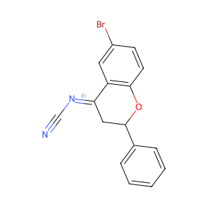 N#C/N=C1\CC(c2ccccc2)Oc2ccc(Br)cc21